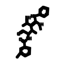 CN/C(Nc1ccccc1)=C(/C(C)=N)C(C)C(C=O)NC(=O)c1cccc(C)c1